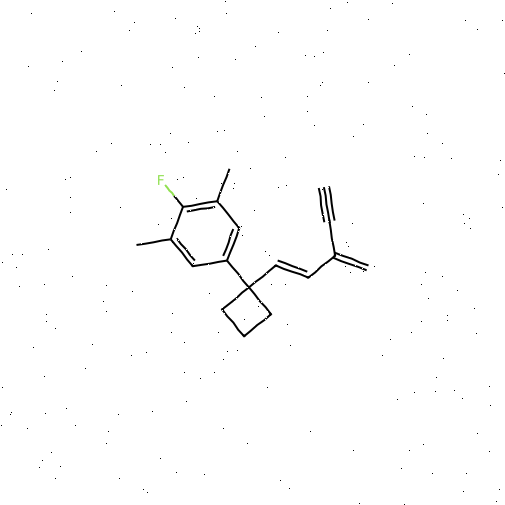 C#CC(=C)/C=C/C1(c2cc(C)c(F)c(C)c2)CCC1